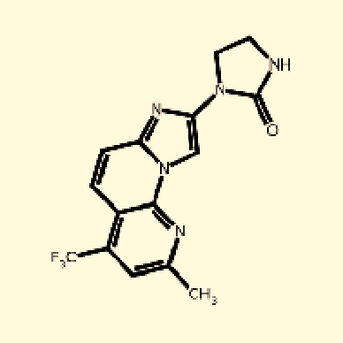 Cc1cc(C(F)(F)F)c2ccc3nc(N4CCNC4=O)cn3c2n1